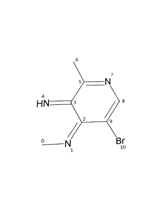 C/N=C1\C(=N)C(C)=NC=C1Br